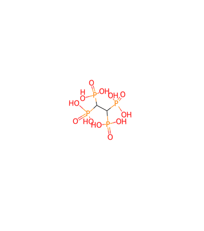 O=P(O)(O)C(C(P(=O)(O)O)P(=O)(O)O)P(=O)(O)O